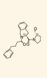 O=C[C@@H]1CCCN1C(=O)[C@@H]1Cc2ccccc2CN1C(=O)CCCc1ccccc1